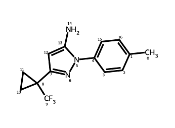 Cc1ccc(-n2nc(C3(C(F)(F)F)CC3)cc2N)cc1